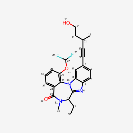 CCC1c2nc3ccc(C#CC(C)CCO)cc3n2-c2c(OC(F)F)cccc2C(=O)N1C